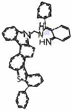 N=C1C=CC=C/C1=C(/NCn1c2ccccc2c2c3ccc4sc5c(-c6ccccc6)cccc5c4c3ccc21)c1ccccc1